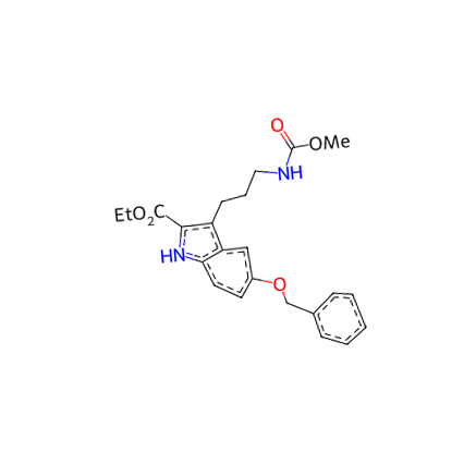 CCOC(=O)c1[nH]c2ccc(OCc3ccccc3)cc2c1CCCNC(=O)OC